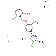 Cc1cc(-c2nn(C)c(Cl)c2C)ccc1OCc1c(O)cccc1Br